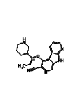 CC[C@H](Oc1c(C#N)ncc2[nH]c3ncccc3c12)C1CCCNC1